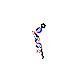 CCCCC(O)CN1CCN(Cc2nc(C(=O)N3CCN(C4CCCC4)CC3)co2)CC1